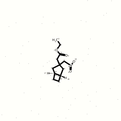 CCOC(=O)CC1(C[N+](=O)[O-])C[C@@H]2CC[C@H]2C1